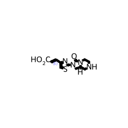 O=C(O)/C=C/c1csc(N2C[C@@H]3CNCCN3C2=O)n1